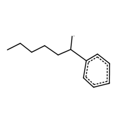 [CH2]C(CCCCC)c1ccccc1